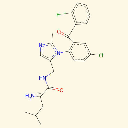 Cc1ncc(CNC(=O)[C@@H](N)CC(C)C)n1-c1ccc(Cl)cc1C(=O)c1ccccc1F